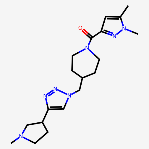 Cc1cc(C(=O)N2CCC(Cn3cc(C4CCN(C)C4)nn3)CC2)nn1C